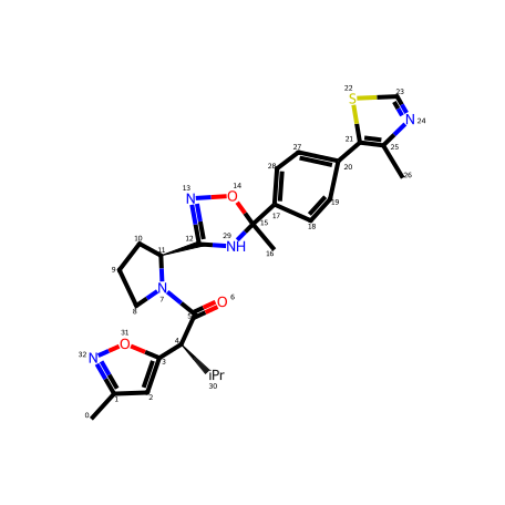 Cc1cc([C@@H](C(=O)N2CCC[C@H]2C2=NOC(C)(c3ccc(-c4scnc4C)cc3)N2)C(C)C)on1